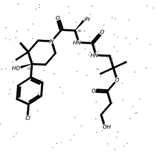 CC(C)[C@@H](NC(=O)NCC(C)(C)OC(=O)CCO)C(=O)N1CC[C@](O)(c2ccc(Cl)cc2)C(C)(C)C1